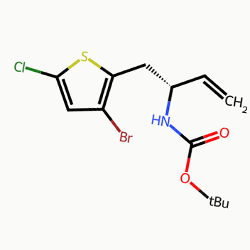 C=C[C@@H](Cc1sc(Cl)cc1Br)NC(=O)OC(C)(C)C